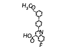 COCc1cccc(-c2ccc(-c3cc(C(=O)O)c4cc(F)ccc4n3)cc2)c1